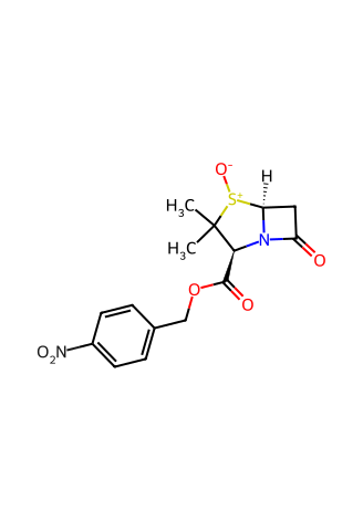 CC1(C)[C@H](C(=O)OCc2ccc([N+](=O)[O-])cc2)N2C(=O)C[C@@H]2[S+]1[O-]